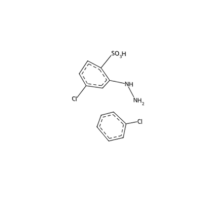 Clc1ccccc1.NNc1cc(Cl)ccc1S(=O)(=O)O